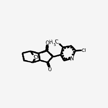 Cc1cc(Cl)ncc1C1C(=O)C2C3CCC(O3)C2C1=O